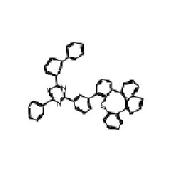 c1ccc(-c2cccc(-c3nc(-c4ccccc4)nc(-c4cccc(-c5cccc6c5Sc5ccccc5-c5cccc7cccc-6c57)c4)n3)c2)cc1